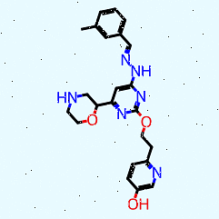 Cc1cccc(C=NNc2cc(C3CNCCO3)nc(OCCc3ccc(O)cn3)n2)c1